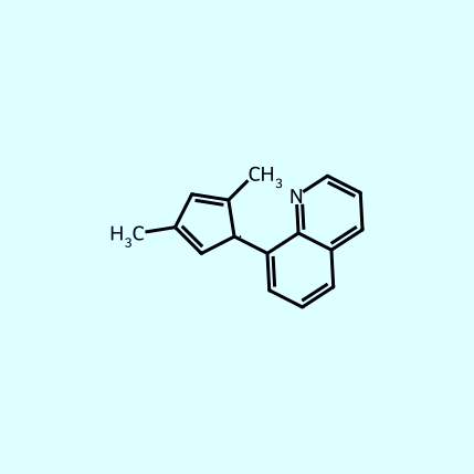 CC1=C[C](c2cccc3cccnc23)C(C)=C1